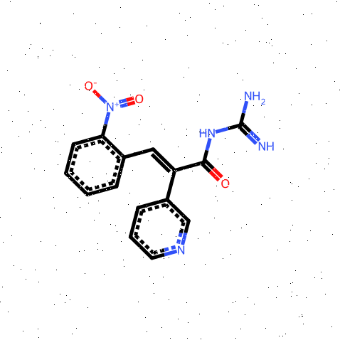 N=C(N)NC(=O)/C(=C/c1ccccc1[N+](=O)[O-])c1cccnc1